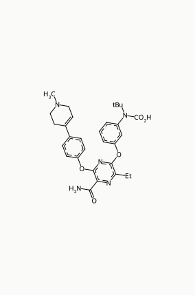 CCc1nc(C(N)=O)c(Oc2ccc(C3=CCN(C)CC3)cc2)nc1Oc1cccc(N(C(=O)O)C(C)(C)C)c1